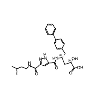 CC(C)CCNC(=O)c1cc(C(=O)N[C@H](Cc2ccc(-c3ccccc3)cc2)C[C@H](O)C(=O)O)[nH]n1